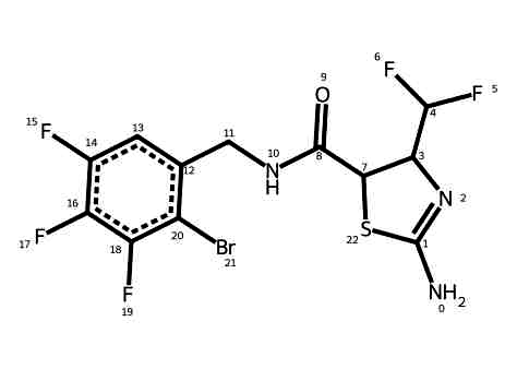 NC1=NC(C(F)F)C(C(=O)NCc2cc(F)c(F)c(F)c2Br)S1